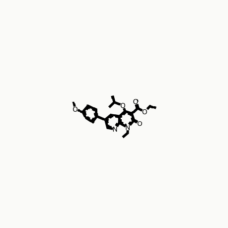 CCOC(=O)c1c(OC(C)C)c2cc(-c3ccc(OC)cc3)cnc2n(CC)c1=O